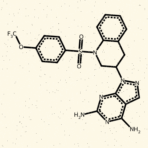 Nc1nc(N)c2cnn(C3Cc4ccccc4N(S(=O)(=O)c4ccc(OC(F)(F)F)cc4)C3)c2n1